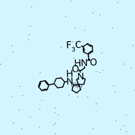 O=C(NCC(=O)N1CC[C@]2(CCC[C@@H]2NC2CCC(c3ccccc3)CC2)C1)c1cccc(C(F)(F)F)c1